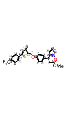 COC(=O)C[C@@H](c1ccc(OCC2SC(c3ccc(C(F)(F)F)cc3)=CC2C)cc1)c1ccon1